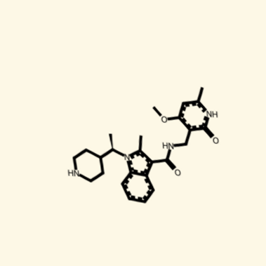 COc1cc(C)[nH]c(=O)c1CNC(=O)c1c(C)n([C@H](C)C2CCNCC2)c2ccccc12